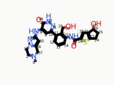 CN1CCn2nc(Nc3cc(-c4cccc(NC(=O)c5cc6c(s5)CCC6O)c4CO)n[nH]c3=O)cc2C1